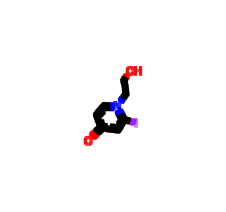 O=c1ccn(CCO)c(I)c1